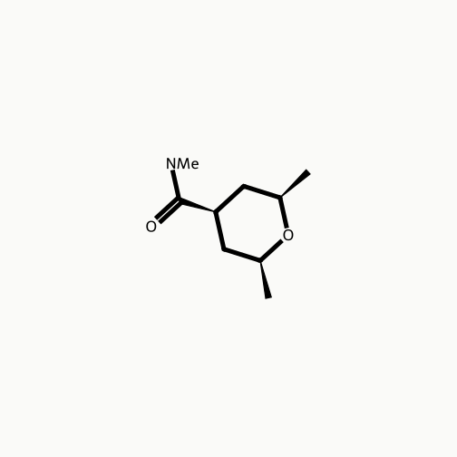 CNC(=O)[C@H]1C[C@@H](C)O[C@@H](C)C1